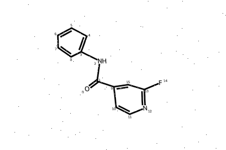 O=C(Nc1ccccc1)c1ccnc(F)c1